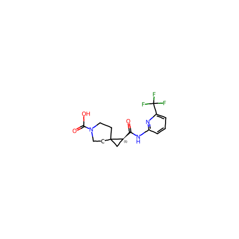 O=C(Nc1cccc(C(F)(F)F)n1)[C@H]1CC12CCN(C(=O)O)CC2